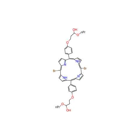 CCCOC(O)CCOc1ccc(-c2c3nc(c(Br)c4ccc([nH]4)c(-c4ccc(OCCC(O)OCCC)cc4)c4nc(c(Br)c5ccc2[nH]5)C=C4)C=C3)cc1